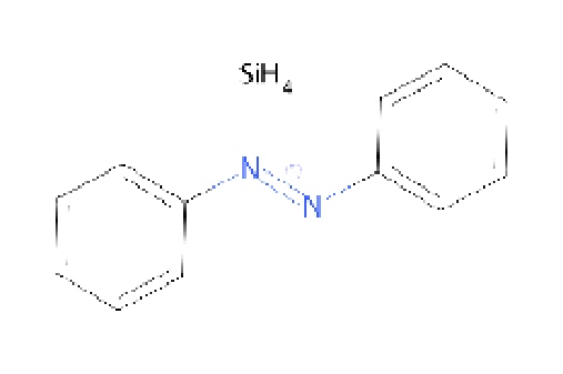 [SiH4].c1ccc(/N=N/c2ccccc2)cc1